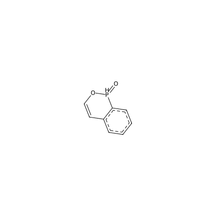 O=[PH]1OC=Cc2ccccc21